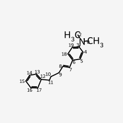 CN(C)c1ccc(C=CCCCc2ccccc2)cc1